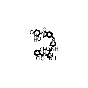 O=C1CCC(N2Cc3cc(CN4CCC(NC(=O)c5n[nH]cc5NC(=O)c5c(Cl)cccc5Cl)CC4)ccc3C2=O)C(=O)N1